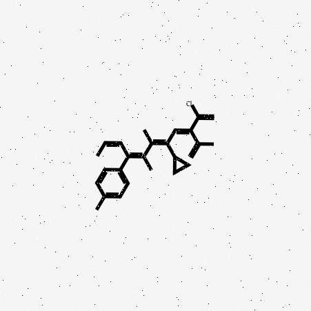 C=C(C)\C(=C/C(=C(C)/C(C)=C(\C=C/C)c1ccc(C)cc1)C1CC1)C(=C)Cl